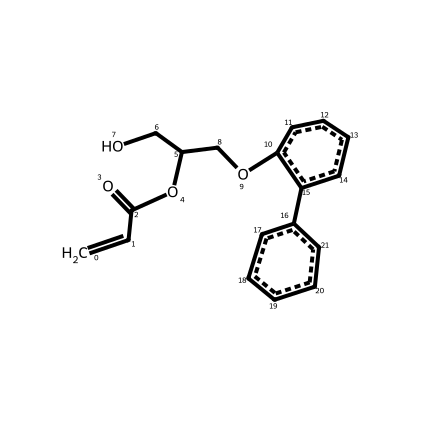 C=CC(=O)OC(CO)COc1ccccc1-c1ccccc1